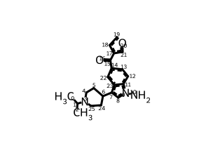 CC(C)N1CCC(c2cn(N)c3ccc(C(=O)c4ccoc4)cc23)CC1